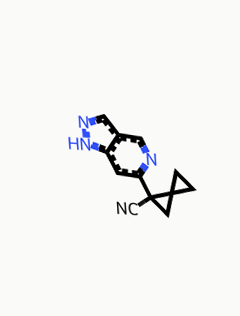 N#CC1(c2cc3[nH]ncc3cn2)CC12CC2